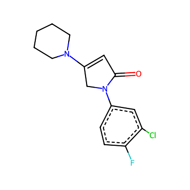 O=C1C=C(N2CCCCC2)CN1c1ccc(F)c(Cl)c1